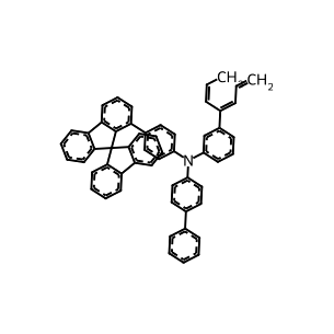 C=C/C=C(\C=C/C)c1cccc(N(c2ccc(-c3ccccc3)cc2)c2ccc(-c3cccc4c3C3(c5ccccc5-c5ccccc53)c3ccccc3-4)cc2)c1